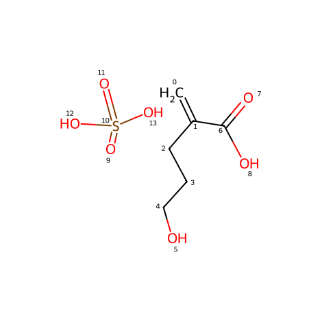 C=C(CCCO)C(=O)O.O=S(=O)(O)O